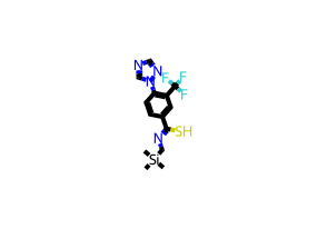 C[Si](C)(C)C/N=C(\S)c1ccc(-n2cncn2)c(C(F)(F)F)c1